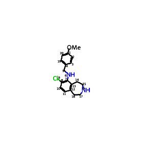 COc1ccc(CNc2c(Cl)ccc3c2CCNCC3)cc1